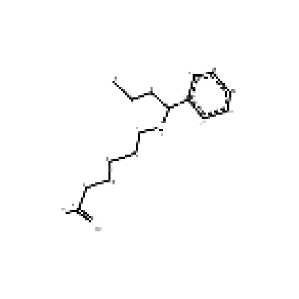 CCCC(OCCCCCC(C)=O)c1ccccc1